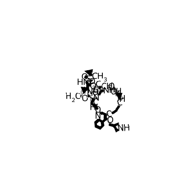 C=C[C@@H]1C[C@]1(NC(=O)[C@@H]1C[C@@H]2CN1C(=O)[C@H](C(C)(C)C)NC(=O)O[C@@H]1C[C@H]1CCCCCc1c(nc3ccccc3c1OCC1CNC1)O2)C(=O)NS(=O)(=O)C1(C)CC1